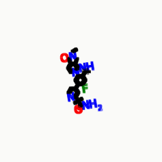 CCN1Cc2c(ccnc2N[C@@H](C)c2ccc(-c3ccnc(C(C)(C)C(N)=O)c3)c(F)c2)C1=O